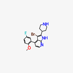 COc1ccc(F)cc1-c1ccnc2[nH]c(C3CCNCC3)c(Br)c12